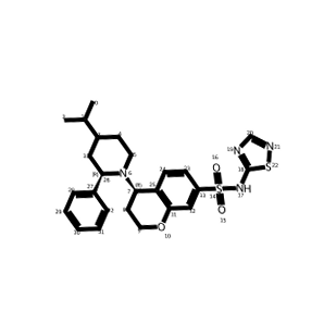 CC(C)C1CCN([C@@H]2CCOc3cc(S(=O)(=O)Nc4ncns4)ccc32)[C@@H](c2ccccc2)C1